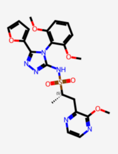 COc1cccc(OC)c1-n1c(NS(=O)(=O)[C@@H](C)Cc2nccnc2OC)nnc1-c1ccco1